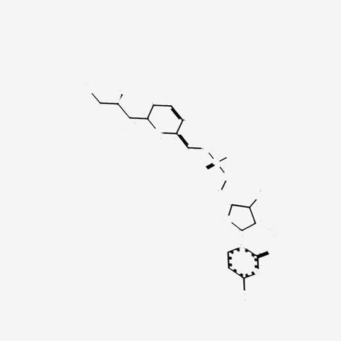 Nc1ccn([C@@H]2O[C@H](COP(=O)(O)O/C=C3\C=CCC([C@H](O)[C@H](O)CO)O3)C(O)[C@@H]2O)c(=O)n1